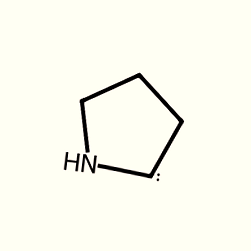 [C]1CCCN1